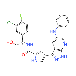 O=C(N[C@H](CO)c1ccc(F)c(Cl)c1)c1cc(-c2n[nH]c3ncc(Nc4ccccc4)cc23)c[nH]1